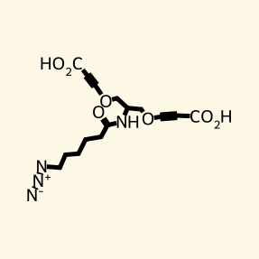 [N-]=[N+]=NCCCCCC(=O)NC(COC#CC(=O)O)COC#CC(=O)O